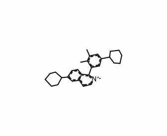 Cc1cc(C2CCCCC2)cc(-c2c3ccc(C4CCCCC4)cc3cc[n+]2C)c1C